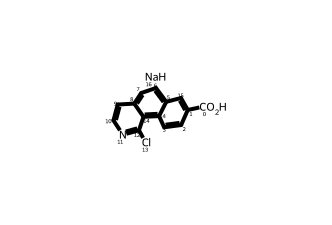 O=C(O)c1ccc2c(ccc3ccnc(Cl)c32)c1.[NaH]